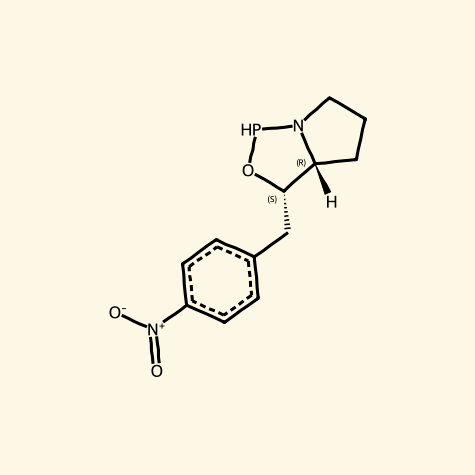 O=[N+]([O-])c1ccc(C[C@@H]2OPN3CCC[C@H]23)cc1